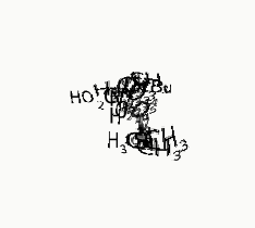 CC(NC(=O)O)C(O[Si](C)(C)C(C)(C)C)C(=O)c1cccc(C#C[Si](C)(C)C)c1